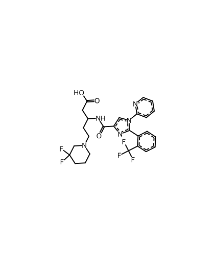 O=C(O)CC(CCN1CCCC(F)(F)C1)NC(=O)c1cn(-c2ccccn2)c(-c2ccccc2C(F)(F)F)n1